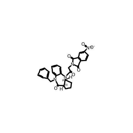 O=C1c2ccc([N+](=O)[O-])cc2C(=O)N1CC(=O)N1c2ccccc2N(Cc2ccccc2)C(=O)[C@H]2CCC[C@H]21